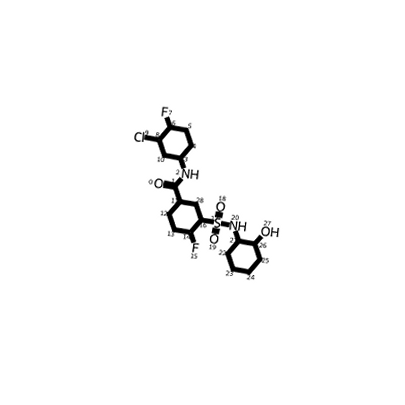 O=C(NC1CCC(F)C(Cl)C1)C1CCC(F)C(S(=O)(=O)NC2CCCCC2O)C1